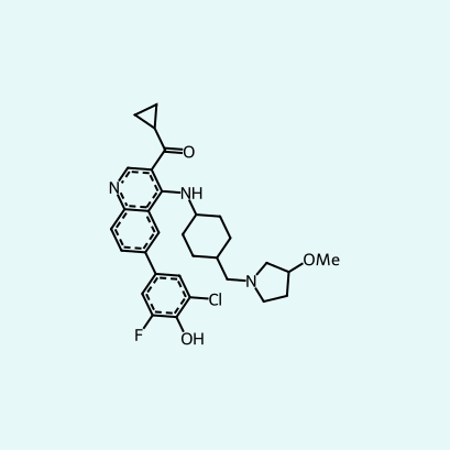 COC1CCN(CC2CCC(Nc3c(C(=O)C4CC4)cnc4ccc(-c5cc(F)c(O)c(Cl)c5)cc34)CC2)C1